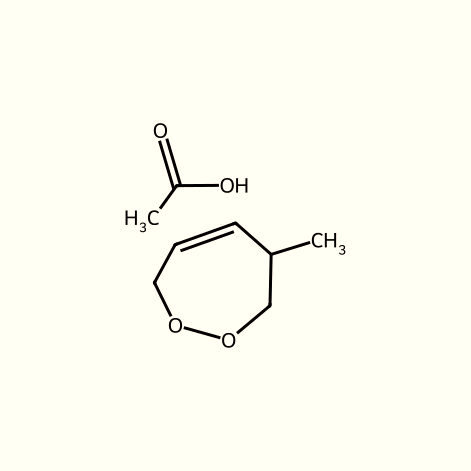 CC(=O)O.CC1C=CCOOC1